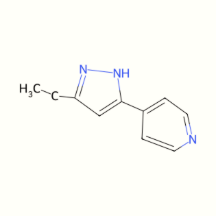 CCc1cc(-c2ccncc2)[nH]n1